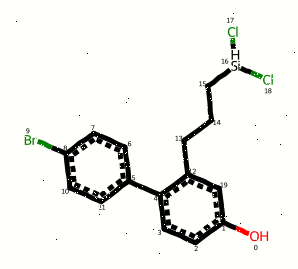 Oc1ccc(-c2ccc(Br)cc2)c(CCC[SiH](Cl)Cl)c1